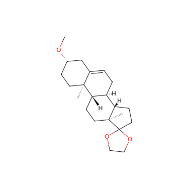 CO[C@H]1CC[C@@]2(C)C(=CC[C@@H]3[C@@H]2CC[C@@]2(C)[C@H]3CCC23OCCO3)C1